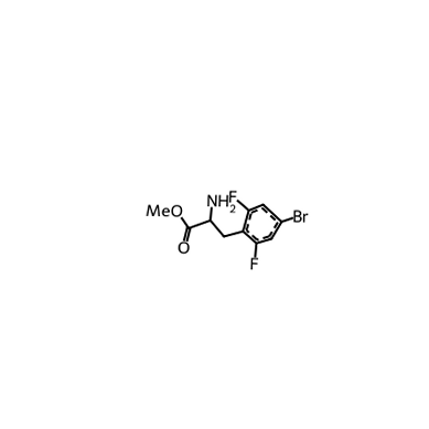 COC(=O)C(N)Cc1c(F)cc(Br)cc1F